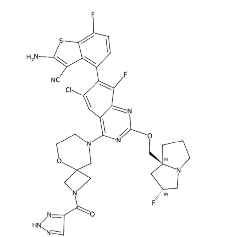 N#Cc1c(N)sc2c(F)ccc(-c3c(Cl)cc4c(N5CCOC6(CN(C(=O)c7cn[nH]n7)C6)C5)nc(OC[C@@]56CCCN5C[C@H](F)C6)nc4c3F)c12